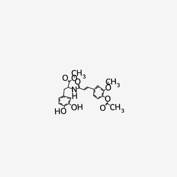 COC(=O)C(Cc1ccc(O)c(O)c1)NC(=O)C=Cc1ccc(OC(C)=O)c(OC)c1